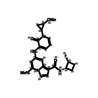 CNc1cc(Nc2cccn(C3C[C@H]3OC)c2=O)nc2c(C(=O)N[C@H]3CC[C@@H]3F)cnn12